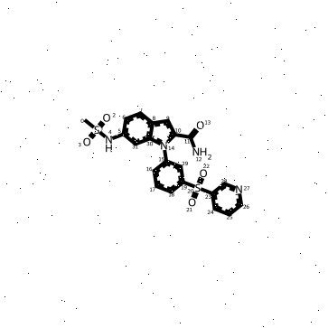 CS(=O)(=O)Nc1ccc2cc(C(N)=O)n(-c3cccc(S(=O)(=O)c4cccnc4)c3)c2c1